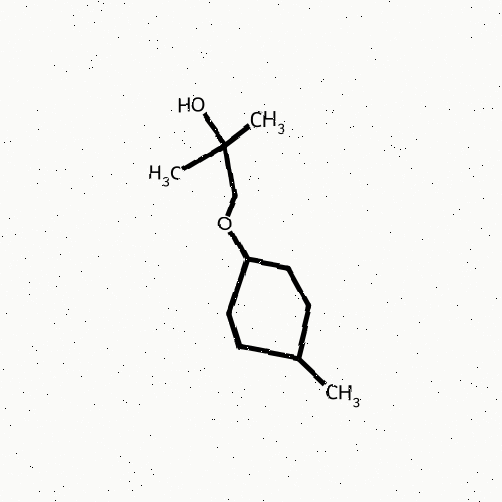 CC1CCC(OCC(C)(C)O)CC1